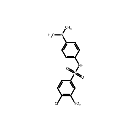 CN(C)c1ccc(NS(=O)(=O)c2ccc(Cl)c([N+](=O)[O-])c2)cc1